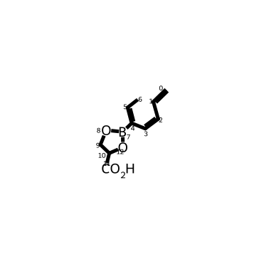 C=C/C=C\C(=CC)B1OCC(C(=O)O)O1